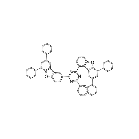 c1ccc(-c2cc(-c3ccccc3)c3oc4ccc(-c5nc(-c6ccccc6)nc(-c6cccc7oc8c(-c9ccccc9)cc(-c9ccccc9)cc8c67)n5)cc4c3c2)cc1